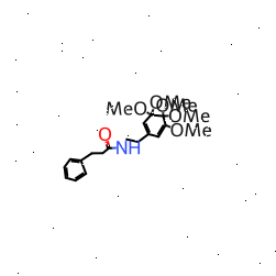 COC1=CC(CCNC(=O)CCc2ccccc2)=CC(OC)(OC)C1(OC)OC